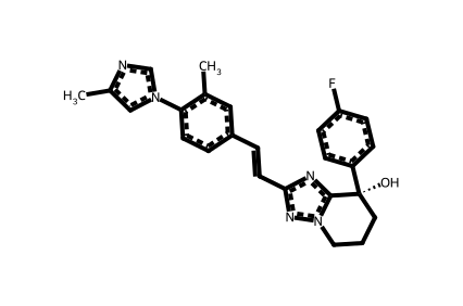 Cc1cn(-c2ccc(/C=C/c3nc4n(n3)CCC[C@]4(O)c3ccc(F)cc3)cc2C)cn1